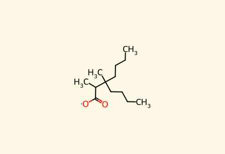 CCCCC(C)(CCCC)C(C)C([O])=O